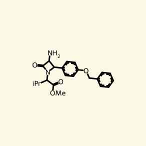 COC(=O)C(C(C)C)N1C(=O)C(N)C1c1ccc(OCc2ccccc2)cc1